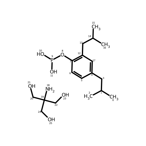 CC(C)Cc1ccc(OP(O)O)c(CC(C)C)c1.NC(CO)(CO)CO